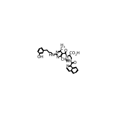 Cc1nc(NCCCc2cccc(O)c2)nc(C)c1C(=O)N[C@@H](CNC(=O)c1nccc2ccccc12)C(=O)O